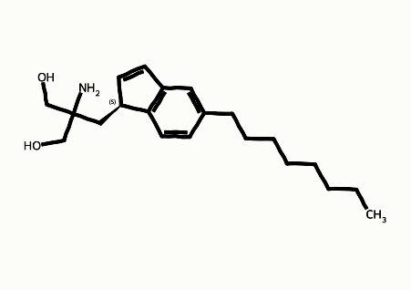 CCCCCCCCc1ccc2c(c1)C=C[C@@H]2CC(N)(CO)CO